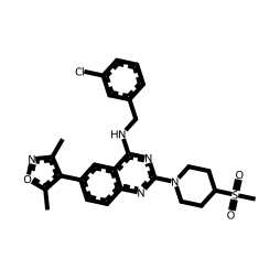 Cc1noc(C)c1-c1ccc2nc(N3CCC(S(C)(=O)=O)CC3)nc(NCc3cccc(Cl)c3)c2c1